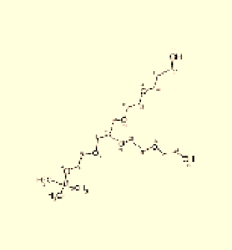 CC(C)(C)OCCOCC(COCCOCCCO)OCCOCCO